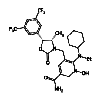 CCN(C1=C(CN2C(=O)O[C@H](c3cc(C(F)(F)F)cc(C(F)(F)F)c3)[C@@H]2C)C=C(C(N)=O)CN1O)C1CCCCC1